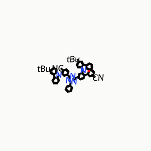 CC(C)(C)c1ccc2c(c1)c1ccccc1n2-c1cc(-c2nc(-c3ccccc3)nc(-c3ccc(-c4cccc(C#N)c4)c(-n4c5ccccc5c5cc(C(C)(C)C)ccc54)c3)n2)ccc1C#N